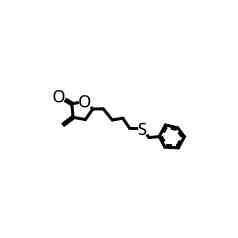 C=C1CC(CCCCSCc2ccccc2)OC1=O